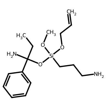 C=CCO[Si](CCCN)(OC)OC(N)(CC)c1ccccc1